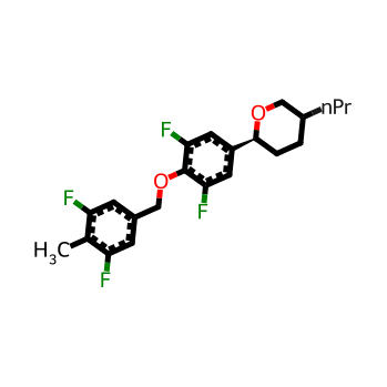 CCCC1CC[C@@H](c2cc(F)c(OCc3cc(F)c(C)c(F)c3)c(F)c2)OC1